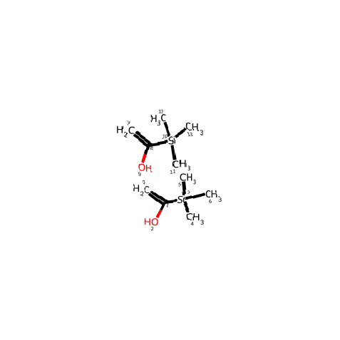 C=C(O)[Si](C)(C)C.C=C(O)[Si](C)(C)C